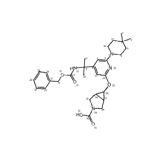 CC1(C)CCN(c2cc(C(C)(C)NC(=O)OCc3ccccc3)cc(OC3C4CN(C(=O)O)CC43)n2)CC1